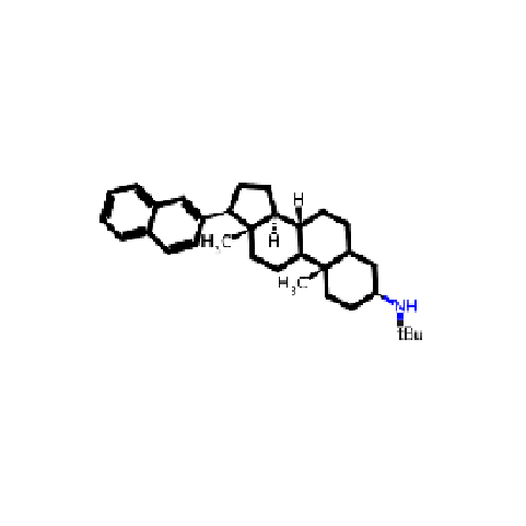 CC(C)(C)N[C@H]1CC[C@@]2(C)C(CC[C@@H]3C2CC[C@]2(C)[C@@H](c4ccc5ccccc5c4)CC[C@@H]32)C1